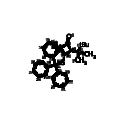 CC(C)(C)[Si](C)(C)N1C(=O)[C@H](Br)[C@H]1SC(c1ccccc1)(c1ccccc1)c1ccccc1